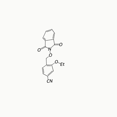 CCOc1cc(C#N)ccc1CON1C(=O)c2ccccc2C1=O